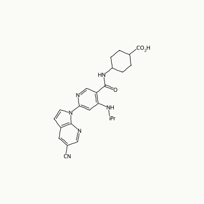 CC(C)Nc1cc(-n2ccc3cc(C#N)cnc32)ncc1C(=O)NC1CCC(C(=O)O)CC1